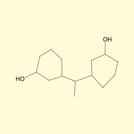 C[C](C1CCCC(O)C1)C1CCCC(O)C1